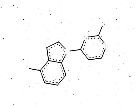 Nc1nccc(-n2ccc3c(F)cccc32)n1